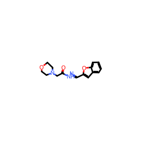 O=C(CN1CCOCC1)N/N=C/c1cc2ccccc2o1